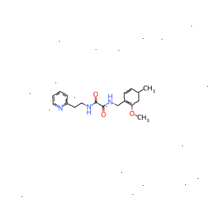 COC1=C(CNC(=O)C(=O)NCCc2ccccn2)C=CC(C)C1